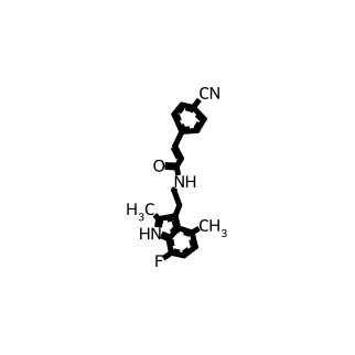 Cc1[nH]c2c(F)ccc(C)c2c1CCNC(=O)/C=C/c1ccc(C#N)cc1